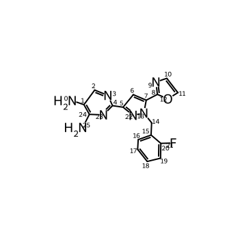 Nc1cnc(-c2cc(-c3ncco3)n(Cc3ccccc3F)n2)nc1N